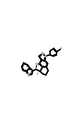 C[C@@]1([C@H](O)c2csc3ccccc23)CCCc2cc3c(cnn3C3C=CC(F)=CC3)cc21